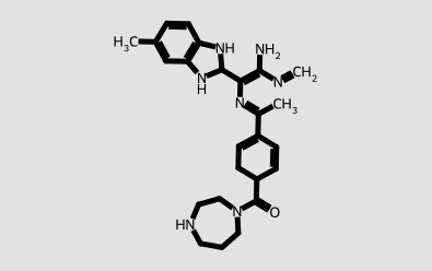 C=N/C(N)=C(\N=C(/C)C1=CCC(C(=O)N2CCCNCC2)C=C1)C1Nc2ccc(C)cc2N1